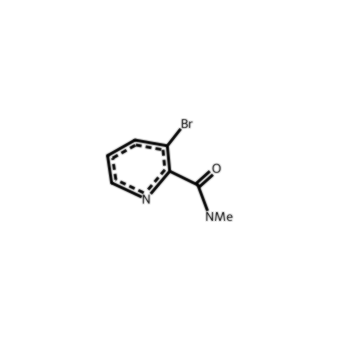 CNC(=O)c1ncccc1Br